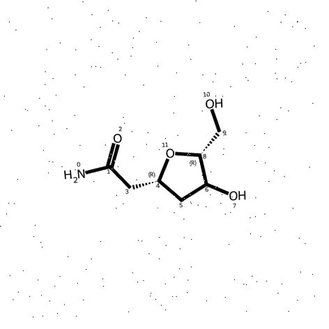 NC(=O)C[C@H]1CC(O)[C@@H](CO)O1